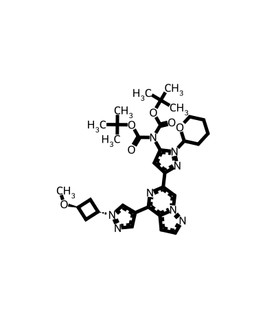 CO[C@H]1C[C@H](n2cc(-c3nc(-c4cc(N(C(=O)OC(C)(C)C)C(=O)OC(C)(C)C)n(C5CCCCO5)n4)cn4nccc34)cn2)C1